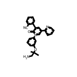 CC(C)(CN)Oc1cccc(-n2cc(-c3ccccn3)cc(-c3ccccc3C#N)c2=O)c1